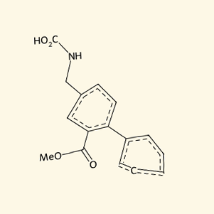 COC(=O)c1cc(CNC(=O)O)ccc1-c1ccccc1